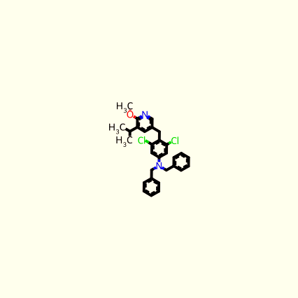 COc1ncc(Cc2c(Cl)cc(N(Cc3ccccc3)Cc3ccccc3)cc2Cl)cc1C(C)C